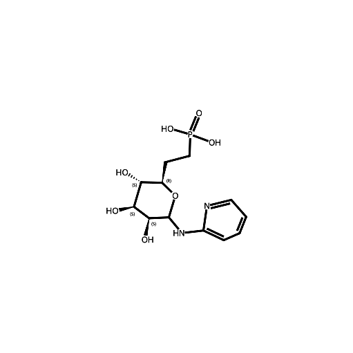 O=P(O)(O)CC[C@H]1OC(Nc2ccccn2)[C@@H](O)[C@@H](O)[C@@H]1O